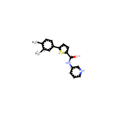 Cc1ccc(-c2ccc(C(=O)Nc3cccnc3)s2)cc1C